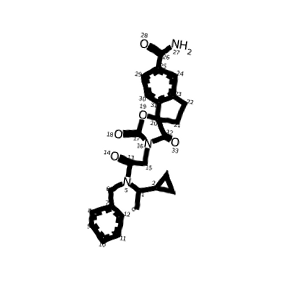 CC(C1CC1)N(Cc1ccccc1)C(=O)CN1C(=O)OC2(CCc3cc(C(N)=O)ccc32)C1=O